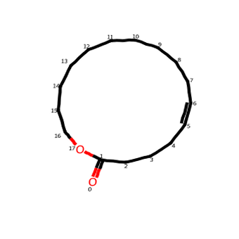 O=C1CCCC=CCCCCCCCCCCO1